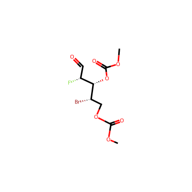 COC(=O)OC[C@H](Br)[C@@H](OC(=O)OC)[C@H](F)C=O